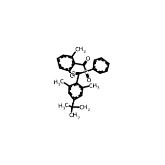 Cc1cc(C(C)(C)C)cc(C)c1C(=O)P(=O)(C(=O)c1c(C)cccc1Cl)c1ccccc1